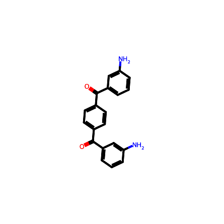 Nc1cccc(C(=O)c2ccc(C(=O)c3cccc(N)c3)cc2)c1